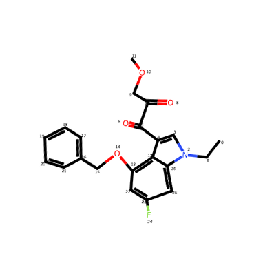 CCn1cc(C(=O)C(=O)COC)c2c(OCc3ccccc3)cc(F)cc21